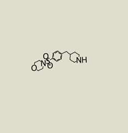 O=S(=O)(c1ccc(CC2CCNCC2)cc1)N1CCOCC1